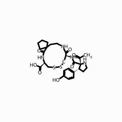 CC(=O)[C@@]1(C(=O)N[C@H]2CSSC[C@@H](C(=O)O)NC(=O)C3(CCCC3)CCNC2=O)NCC[C@@H]1c1ccc(O)cc1